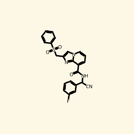 N#CC(NC(=O)c1cccn2cc(CS(=O)(=O)c3ccccc3)nc12)c1cccc(F)c1